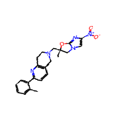 Cc1ccccc1-c1ccc2c(n1)CCN(C[C@@]1(C)Cn3cc([N+](=O)[O-])nc3O1)C2